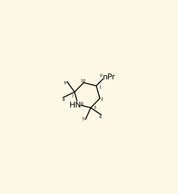 CCCC1CC(C)(C)NC(C)(C)C1